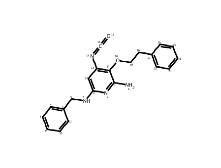 Nc1nc(NCc2ccccc2)cc(N=C=O)c1OCCc1ccccc1